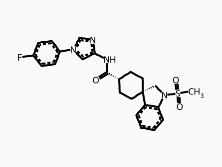 CS(=O)(=O)N1C[C@]2(CC[C@@H](C(=O)Nc3cn(-c4ccc(F)cc4)cn3)CC2)c2ccccc21